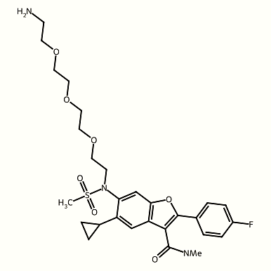 CNC(=O)c1c(-c2ccc(F)cc2)oc2cc(N(CCOCCOCCOCCN)S(C)(=O)=O)c(C3CC3)cc12